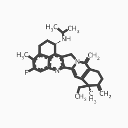 C=C1C2=C(C=C3c4nc5cc(F)c(C)c6c5c(c4CN13)[C@@H](NC(C)C)CC6)[C@@](C)(CC)C(=C)CC2